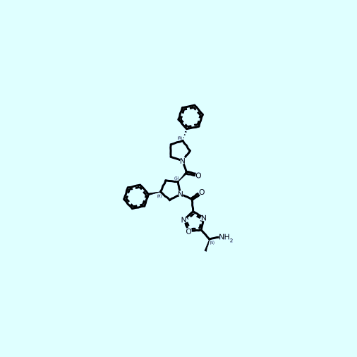 C[C@H](N)c1nc(C(=O)N2C[C@@H](c3ccccc3)C[C@H]2C(=O)N2CC[C@H](c3ccccc3)C2)no1